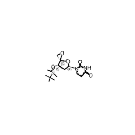 CC(C)(C)[Si](C)(C)O[C@H]1C[C@H](n2ccc(=O)[nH]c2=O)O[C@@]12CO2